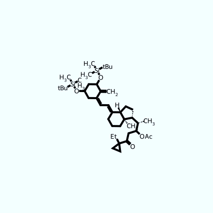 C=C1C(=CC=C2CCC[C@]3(C)[C@@H]([C@H](C)C(CC(=O)C4(CC)CC4)OC(C)=O)CC[C@@H]23)CC(O[Si](C)(C)C(C)(C)C)CC1O[Si](C)(C)C(C)(C)C